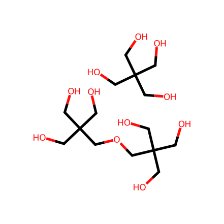 OCC(CO)(CO)CO.OCC(CO)(CO)COCC(CO)(CO)CO